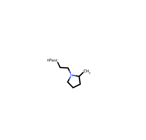 CCCCCCCN1CCCC1C